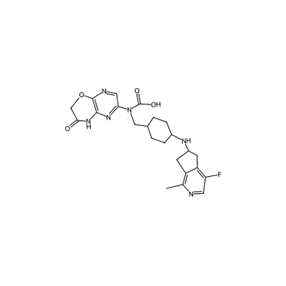 Cc1ncc(F)c2c1CC(NC1CCC(CN(C(=O)O)c3cnc4c(n3)NC(=O)CO4)CC1)C2